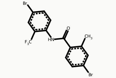 Cc1cc(Br)ccc1C(=O)Nc1ccc(Br)cc1C(F)(F)F